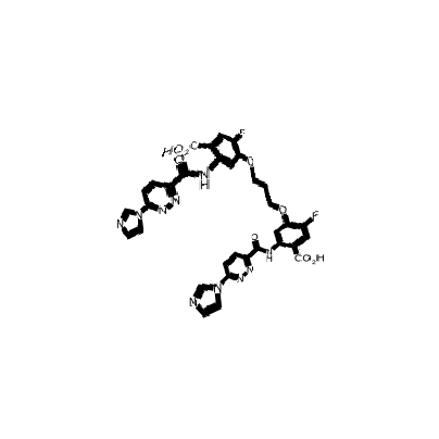 O=C(Nc1cc(OCCCOc2cc(NC(=O)c3ccc(-n4ccnc4)nn3)c(C(=O)O)cc2F)c(F)cc1C(=O)O)c1ccc(-n2ccnc2)nn1